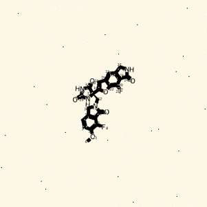 COc1ccc2c(c1F)C(=O)N(C[C@@]1(c3cc4cc5c(c(F)c4o3)C(=O)NC5)NC(=O)NC1=O)C2